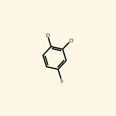 [S]c1ccc(Cl)c(Cl)c1